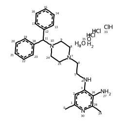 Cc1cc(NCCN2CCN(C(c3ccccc3)c3ccccc3)CC2)c(N)c(C)n1.Cl.Cl.Cl.O.O